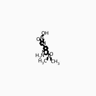 CCCN(CCC)C(=O)C1=Cc2ccc(-c3ccc4c(n3)CN(CCO)C4=O)cc2N=C(N)C1